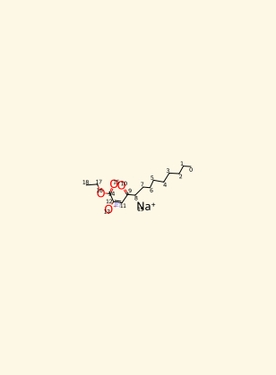 CCCCCCCCCC(=O)/C=C(/[O-])C(=O)OCC.[Na+]